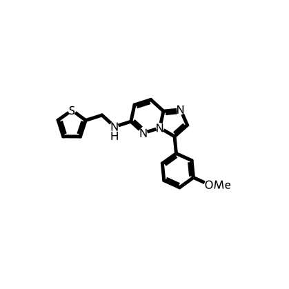 COc1cccc(-c2cnc3ccc(NCc4cccs4)nn23)c1